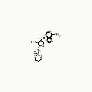 C[C@@]1(O)[C@H](O)[C@@H](COP2(=O)OCCCO2)O[C@H]1n1cnc2c(N)ncnc21